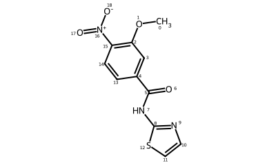 COc1cc(C(=O)Nc2nccs2)ccc1[N+](=O)[O-]